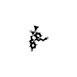 N#CCCCCn1c(Cn2c(=O)n(C3CC3)c3ccncc32)cc2cc(Br)ccc21